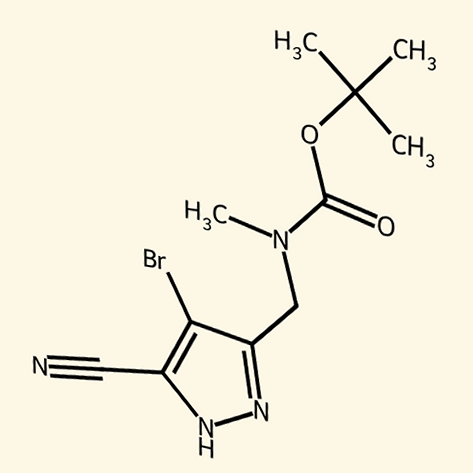 CN(Cc1n[nH]c(C#N)c1Br)C(=O)OC(C)(C)C